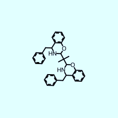 CC(C)(C1NC(Cc2ccccc2)c2ccccc2O1)C1NC(Cc2ccccc2)c2ccccc2O1